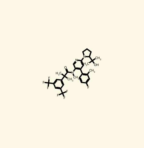 Cc1cc(F)ccc1-c1cc(N2CCCC2C(C)(C)O)ncc1N(C)C(=O)C(C)(C)c1cc(C(F)(F)F)cc(C(F)(F)F)c1